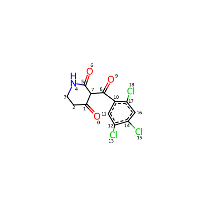 O=C1CCNC(=O)C1C(=O)c1cc(Cl)c(Cl)cc1Cl